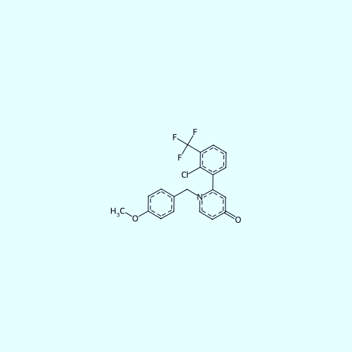 COc1ccc(Cn2ccc(=O)cc2-c2cccc(C(F)(F)F)c2Cl)cc1